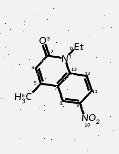 CCn1c(=O)cc(C)c2cc([N+](=O)[O-])ccc21